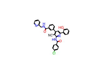 N#Cc1c(-c2cccc(C(=O)NCc3ccccn3)c2)cc(-c2ccccc2O)nc1NC(=O)c1ccc(Cl)cc1